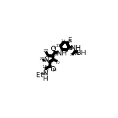 B=C(C)Nc1cc(NC(=O)c2c(C)c(C(=O)CNCC)n(C)c2C)ccc1F